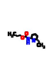 CCCOC(=O)Nc1cccc(CC)n1